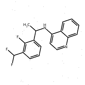 CC(Nc1ccnc2ccccc12)c1cccc(C(F)F)c1F